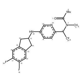 CN(C(=O)C(C)(C)C)C(c1ccc(NC2Cc3cc(F)c(F)cc3C2)cn1)C(F)(F)F